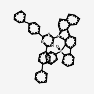 O=P1(c2ccccc2)c2ccccc2-c2ccc3c4c5ccccc5ccc4n(-c4nc(-c5ccc(-c6ccccc6)cc5)nc(-c5ccc(-c6ccccc6)cc5)n4)c3c21